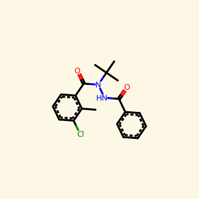 Cc1c(Cl)cccc1C(=O)N(NC(=O)c1ccccc1)C(C)(C)C